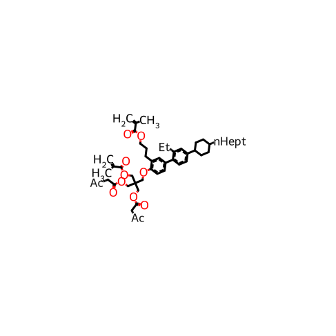 C=C(C)C(=O)OCCCc1cc(-c2ccc(C3CCC(CCCCCCC)CC3)cc2CC)ccc1OCC(COC(=O)CC(C)=O)(COC(=O)CC(C)=O)COC(=O)C(=C)C